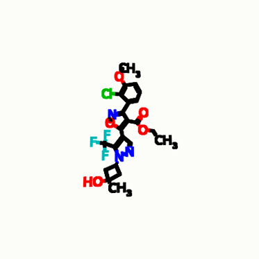 CCOC(=O)c1c(-c2cccc(OC)c2Cl)noc1-c1cnn([C@H]2C[C@@](C)(O)C2)c1C(F)(F)F